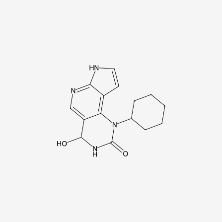 O=C1NC(O)c2cnc3[nH]ccc3c2N1C1CCCCC1